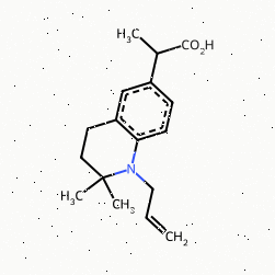 C=CCN1c2ccc(C(C)C(=O)O)cc2CCC1(C)C